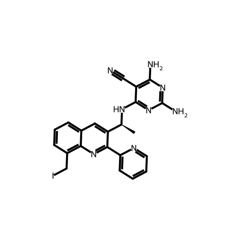 C[C@H](Nc1nc(N)nc(N)c1C#N)c1cc2cccc(CI)c2nc1-c1ccccn1